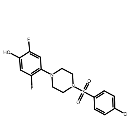 O=S(=O)(c1ccc(Cl)cc1)N1CCN(c2cc(F)c(O)cc2F)CC1